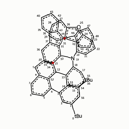 CC(C)(C)c1cc(-c2cccc3cccc(-c4ccccc4N(c4cccc5oc6ccccc6c45)c4cccc5c6ccccc6n(-c6ccccc6)c45)c23)cc(C(C)(C)C)c1